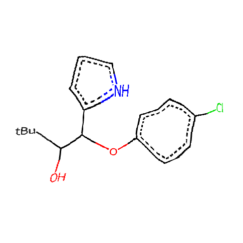 CC(C)(C)C(O)C(Oc1ccc(Cl)cc1)c1ccc[nH]1